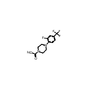 O=C(O)N1CCN(c2ccc(C(F)(F)F)cc2F)CC1